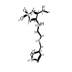 CNC1=NS(=O)(=O)N=C1NCCSCc1ccsn1